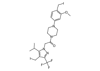 COc1cc(N2CCN(C(=O)Cn3nc(C(F)(F)F)c(CI)c3C(C)C)CC2)ccc1CI